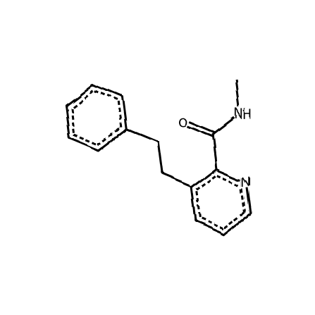 CNC(=O)c1ncccc1CCc1ccccc1